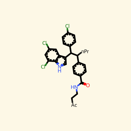 CCCC(c1ccc(C(=O)NCCC(C)=O)cc1)C(c1ccc(Cl)cc1)c1c[nH]c2c(Cl)cc(Cl)cc12